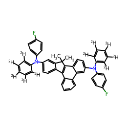 [2H]c1c([2H])c([2H])c(N(c2ccc(F)cc2)c2ccc3c(c2)C(C)(C)c2c-3c3ccccc3c3cc(N(c4ccc(F)cc4)c4c([2H])c([2H])c([2H])c([2H])c4[2H])ccc23)c([2H])c1[2H]